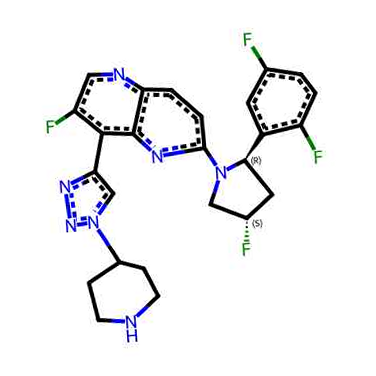 Fc1ccc(F)c([C@H]2C[C@H](F)CN2c2ccc3ncc(F)c(-c4cn(C5CCNCC5)nn4)c3n2)c1